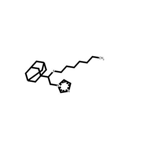 CCCCCCCSC(Cn1ccnc1)C12CC3CC(CC(C3)C1)C2